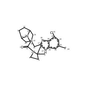 CC1(C)CCN1C(=O)CN1C2CCC1CN(Cc1nc3c(Cl)cc(F)cc3[nH]1)C2